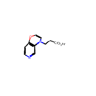 O=C(O)CCN1C=COc2ccncc21